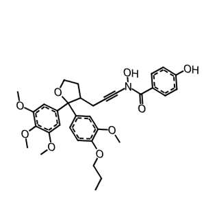 CCCOc1ccc(C2(c3cc(OC)c(OC)c(OC)c3)OCCC2CC#CN(O)C(=O)c2ccc(O)cc2)cc1OC